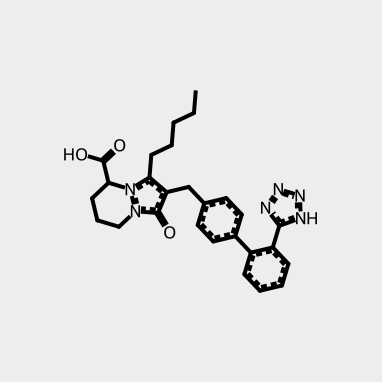 CCCCCc1c(Cc2ccc(-c3ccccc3-c3nnn[nH]3)cc2)c(=O)n2n1C(C(=O)O)CCC2